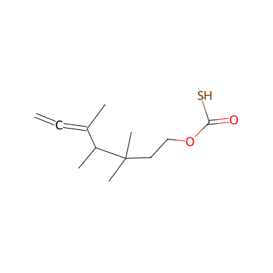 C=C=C(C)C(C)C(C)(C)CCOC(=O)S